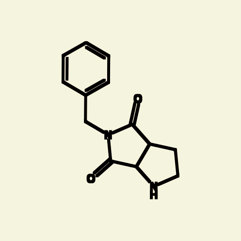 O=C1C2CCNC2C(=O)N1Cc1ccccc1